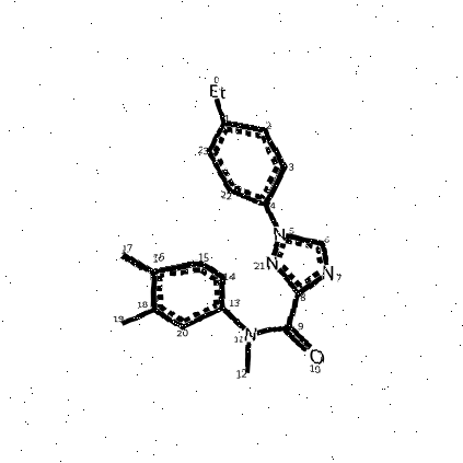 CCc1ccc(-n2cnc(C(=O)N(C)c3ccc(C)c(C)c3)n2)cc1